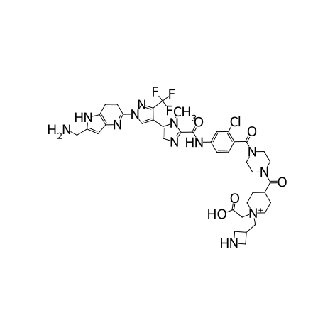 Cn1c(-c2cn(-c3ccc4[nH]c(CN)cc4n3)nc2C(F)(F)F)cnc1C(=O)Nc1ccc(C(=O)N2CCN(C(=O)C3CC[N+](CC(=O)O)(CC4CNC4)CC3)CC2)c(Cl)c1